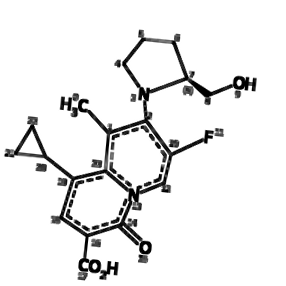 Cc1c(N2CCC[C@H]2CO)c(F)cn2c(=O)c(C(=O)O)cc(C3CC3)c12